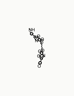 CNCc1ccc(C2=CN3C(=O)c4cc(OC)c(OCCCCCOc5cc6c(cc5OC)C(=O)N5C=C(c7ccc(OC)cc7)CC5C=N6)cc4N=CC3C2)cc1